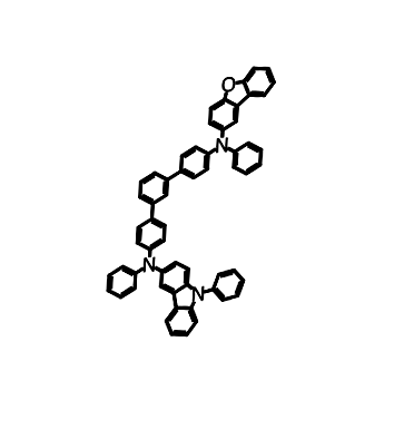 c1ccc(N(c2ccc(-c3cccc(-c4ccc(N(c5ccccc5)c5ccc6c(c5)c5ccccc5n6-c5ccccc5)cc4)c3)cc2)c2ccc3oc4ccccc4c3c2)cc1